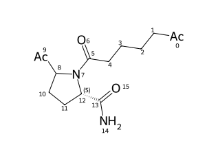 CC(=O)CCCCC(=O)N1C(C(C)=O)CC[C@H]1C(N)=O